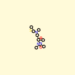 c1ccc(-c2nc(-c3ccc(-c4ccc(N(c5ccccc5)c5ccc6sc7ccccc7c6c5)cc4)c4oc5ccccc5c34)nc3c2oc2ccccc23)cc1